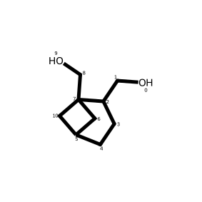 OCC1CCC2CC1(CO)C2